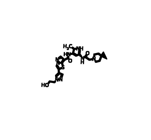 CC1NC=C(NC(=O)CN2CCC3(CC2)CC3)C=C1NC(=O)c1cnn2cc(-c3cnn(CCO)c3)sc12